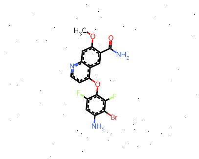 COc1cc2nccc(Oc3c(F)cc(N)c(Br)c3F)c2cc1C(N)=O